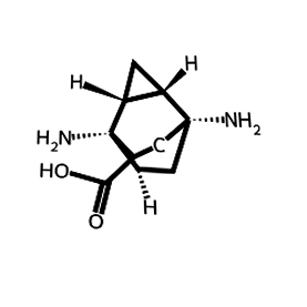 N[C@@]12CC[C@@](N)([C@@H]3C[C@@H]31)[C@H](C(=O)O)C2